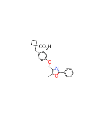 Cc1oc(-c2ccccc2)nc1COc1ccc(CC2(C(=O)O)CCC2)cc1